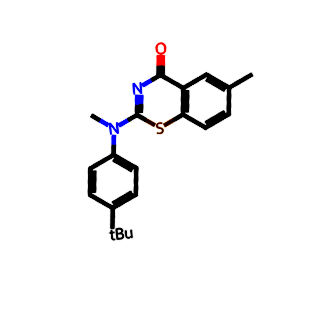 Cc1ccc2sc(N(C)c3ccc(C(C)(C)C)cc3)nc(=O)c2c1